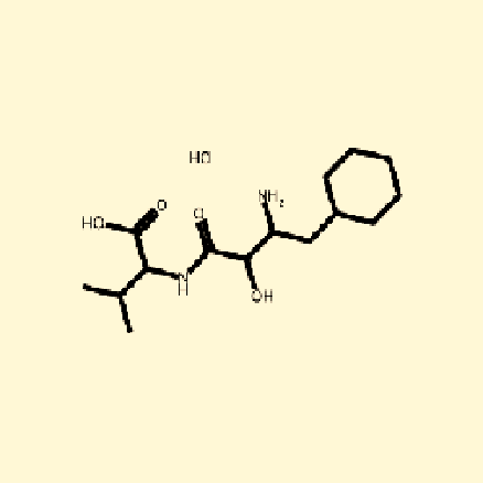 CC(C)C(NC(=O)C(O)C(N)CC1CCCCC1)C(=O)O.Cl